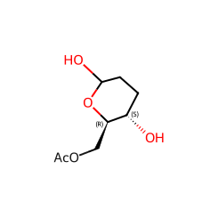 CC(=O)OC[C@H]1OC(O)CC[C@@H]1O